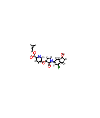 O=C(OCC1CC1)c1ccc(O[C@@H]2CCN(c3cc(F)c4c(c3)C(=O)CC4)C2=O)cn1